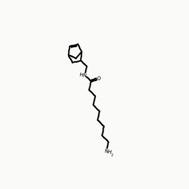 NCCCCCCCCC(=O)NCC1CC2C=CC1C2